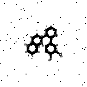 Fc1ccc(-c2ncccc2-c2ccc3ncccc3n2)cc1Cl